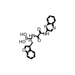 O=C(Nc1cnc2ccccc2n1)C(=O)N[C@@H](Cc1coc2ccccc12)B(O)O